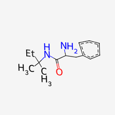 CCC(C)(C)NC(=O)C(N)Cc1ccccc1